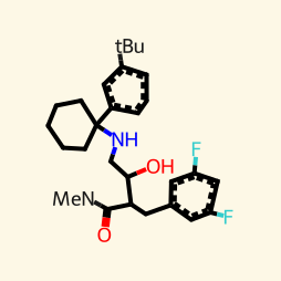 CNC(=O)C(Cc1cc(F)cc(F)c1)C(O)CNC1(c2cccc(C(C)(C)C)c2)CCCCC1